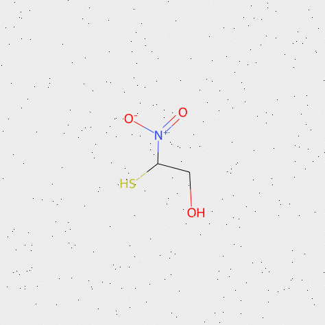 O=[N+]([O-])C(S)CO